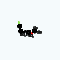 CC(C)(C)c1cc(Oc2ccc(/C=C/c3cc(-c4ccc(F)cc4)ccc3C(=O)O)cc2[N+](=O)[O-])cc(C(C)(C)C)c1